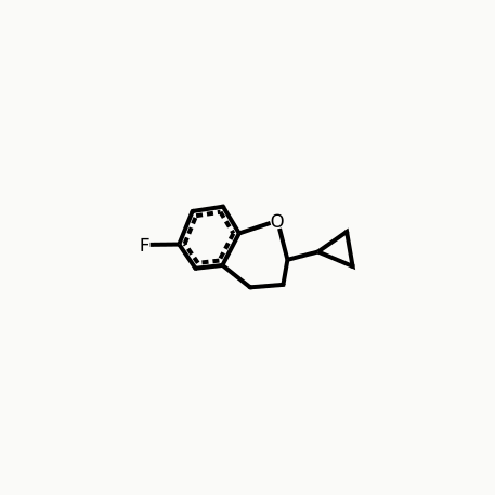 Fc1ccc2c(c1)CCC(C1CC1)O2